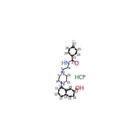 Cl.O=C(NCCN1CCN(c2cccc3ccc(O)cc23)CC1)c1ccc(F)cc1